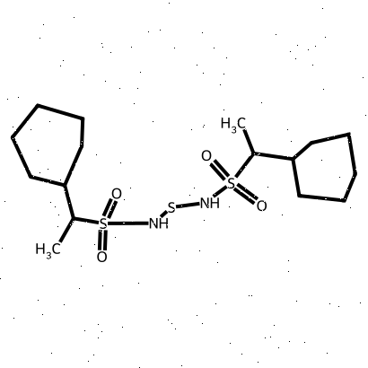 CC(C1CCCCC1)S(=O)(=O)NSNS(=O)(=O)C(C)C1CCCCC1